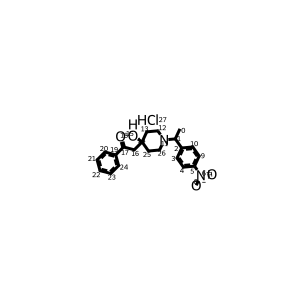 CC(c1ccc([N+](=O)[O-])cc1)N1CCC(O)(CC(=O)c2ccccc2)CC1.Cl